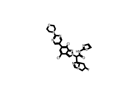 O=C(Nc1nccs1)C(c1ncn2c1CC(F)C2)n1cc2c(Cl)cc(-c3cnc(N4CCOCC4)nc3)c(Cl)c2n1